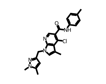 Cc1ccc(NC(=O)c2cnc3c(c(C)cn3Cc3cc(C)n(C)n3)c2Cl)cc1